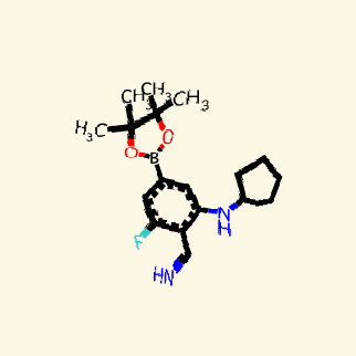 CC1(C)OB(c2cc(F)c(C=N)c(NC3CCCC3)c2)OC1(C)C